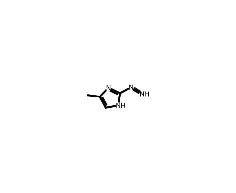 Cc1c[nH]c(N=N)n1